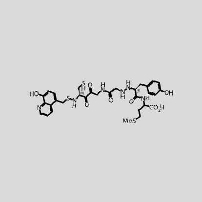 CSCCC(NC(=O)[C@H](Cc1ccc(O)cc1)NNCC(=O)NCC(=O)C(=O)[C@H](CS)NSCc1ccc(O)c2ncccc12)C(=O)O